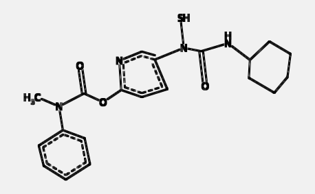 CN(C(=O)Oc1ccc(N(S)C(=O)NC2CCCCC2)cn1)c1ccccc1